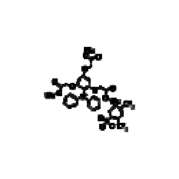 CC(C)(C)OC(=O)COc1cc(OCC(=O)OC(C)(C)C)c([S+](c2ccccc2)c2ccccc2)c(OCC(=O)OC(C)(C)C)c1.O=S(=O)([O-])c1ccc(C(F)(F)F)cc1C(F)(F)F